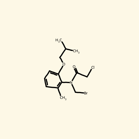 Cc1cccc(OCC(C)C)c1N(CBr)C(=O)CCl